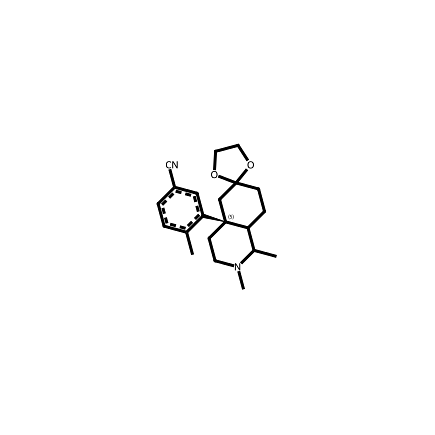 Cc1ccc(C#N)cc1[C@]12CCN(C)C(C)C1CCC1(C2)OCCO1